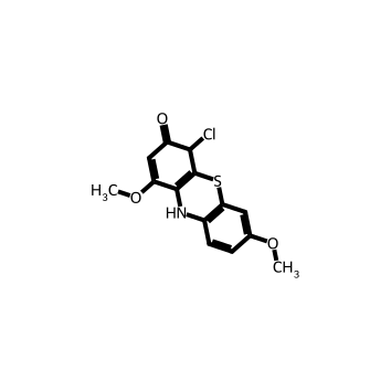 COC1=CC(=O)C(Cl)C2=C1Nc1ccc(OC)cc1S2